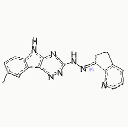 Cc1ccc2[nH]c3nc(N/N=C4\CCc5cccnc54)nnc3c2c1